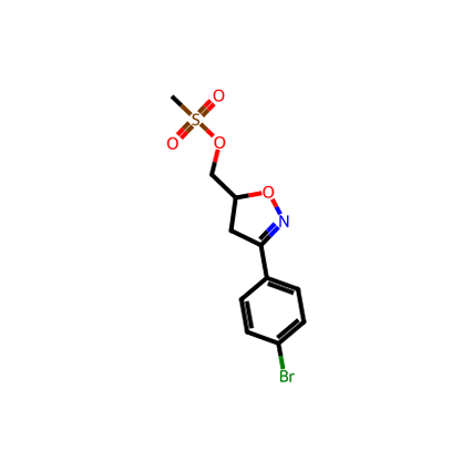 CS(=O)(=O)OCC1CC(c2ccc(Br)cc2)=NO1